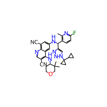 Cc1nc(F)ccc1[C@H](Nc1cc(C#N)c2ncc(C#N)c(N[C@@H]3CCOCC3(C)C)c2c1)c1cn(C2(C3CC3)CC2)nn1